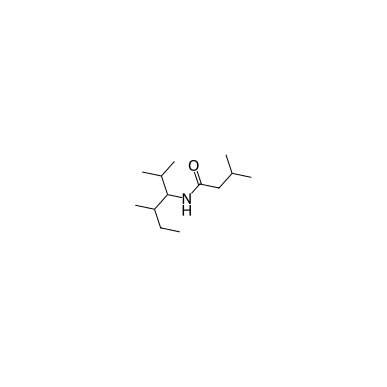 CCC(C)C(NC(=O)CC(C)C)C(C)C